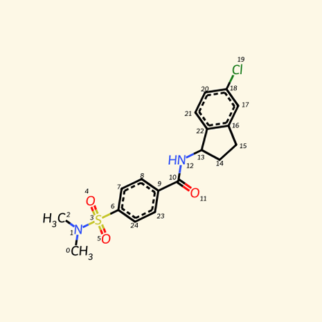 CN(C)S(=O)(=O)c1ccc(C(=O)NC2CCc3cc(Cl)ccc32)cc1